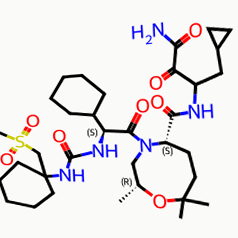 C[C@@H]1CN(C(=O)[C@@H](NC(=O)NC2(CS(C)(=O)=O)CCCCC2)C2CCCCC2)[C@H](C(=O)NC(CC2CC2)C(=O)C(N)=O)CCC(C)(C)O1